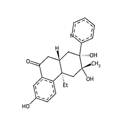 CC[C@@]12C[C@@](C)(O)[C@](O)(c3ccccn3)C[C@H]1CC(=O)c1cc(O)ccc12